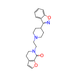 O=C1c2occc2CCN1CCN1CCC(c2noc3ccccc23)CC1